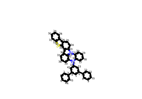 c1ccc(-c2cc(-c3ccccc3)cc(N3c4ccccc4-n4c5ccc6c7ccccc7sc6c5c5cccc3c54)c2)cc1